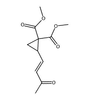 COC(=O)C1(C(=O)OC)CC1/C=C/C(C)=O